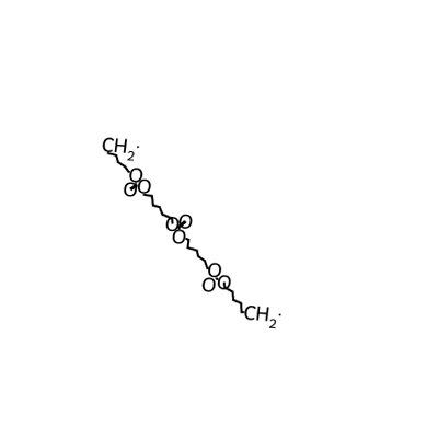 [CH2]CCCCCOC(=O)OCCCCCCOC(=O)OCCCCCCOC(=O)OCCCCC[CH2]